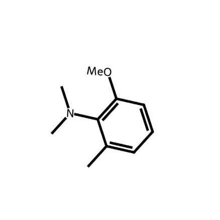 COc1cccc(C)c1N(C)C